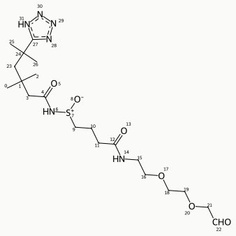 CC(C)(CC(=O)N[S+]([O-])CCCC(=O)NCCOCCOCC=O)CC(C)(C)c1nnn[nH]1